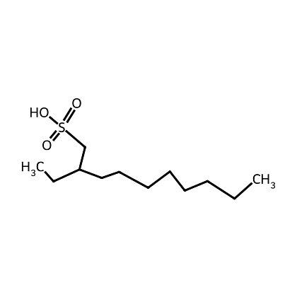 CCCCCCCCC(CC)CS(=O)(=O)O